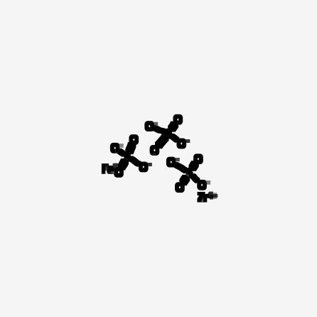 O=S(=O)([O-])[O-].O=S(=O)([O-])[O-].O=S(=O)([O-])[O-].[Fe+2].[Zr+4]